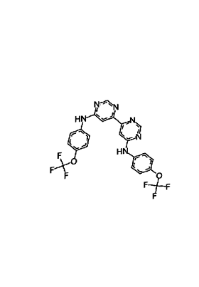 FC(F)(F)Oc1ccc(Nc2cc(-c3cc(Nc4ccc(OC(F)(F)F)cc4)ncn3)ncn2)cc1